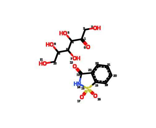 O=C(CO)C(O)C(O)C(O)CO.O=C1NS(=O)(=O)c2ccccc21